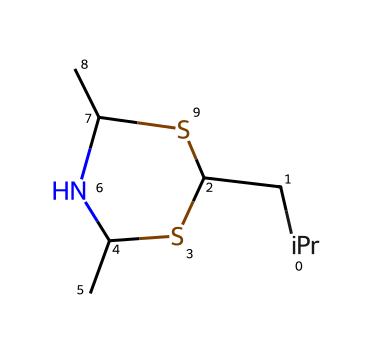 CC(C)CC1SC(C)NC(C)S1